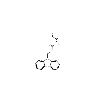 CC(=O)C(CS)NC(=O)OCC1c2ccccc2-c2ccccc21